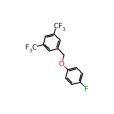 Fc1ccc(OCc2cc(C(F)(F)F)cc(C(F)(F)F)c2)cc1